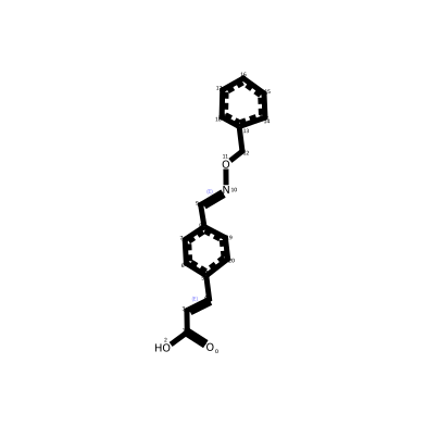 O=C(O)/C=C/c1ccc(/C=N/OCc2ccccc2)cc1